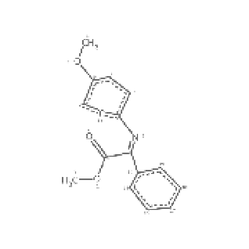 COC(=O)C(=Nc1ccc(OC)cc1)c1ccccc1